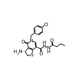 CCCC(=O)NNC(=O)c1cn(Cc2ccc(Cl)cc2)c(=O)c2c1SC[C@@H]2N